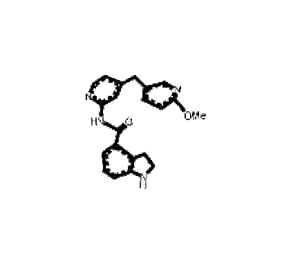 COc1ccc(Cc2ccnc(NC(=O)c3cccc4c3CCN4)c2)cn1